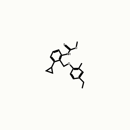 CCc1ccc(OCc2c(NC(=S)OC)cccc2C2CC2)c(C)c1